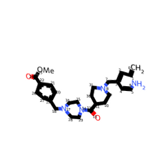 C=C/C=C(\C=C/N)CN1CCC(C(=O)N2CCN(Cc3ccc(C(=O)OC)cc3)CC2)CC1